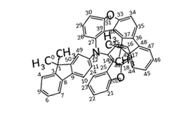 CC1(C)c2ccccc2-c2ccc(N(c3cccc4oc5ccccc5c34)c3cccc4oc5ccc6c(c5c34)C(C)(C)c3ccccc3-6)cc21